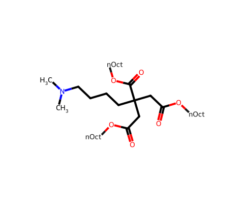 CCCCCCCCOC(=O)CC(CCCCN(C)C)(CC(=O)OCCCCCCCC)C(=O)OCCCCCCCC